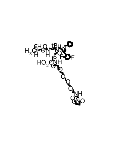 C[SiH](C)CCOC(=O)NCCCN(C(=O)CSC[C@H](NC(=O)CCOCCOCCOCCOCCNC(=O)CN1C(=O)C=CC1=O)C(=O)O)C(c1cc(-c2cc(F)ccc2F)cn1Cc1ccccc1)C(C)(C)C